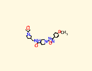 COc1ccc(-c2noc(N3CCC(C(=O)NCC4CCN(C5COC5)C4)CC3)n2)cc1